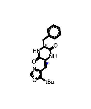 CC(C)(C)c1ocnc1/C=C1/NC(=O)[C@H](Cc2ccccc2)NC1=O